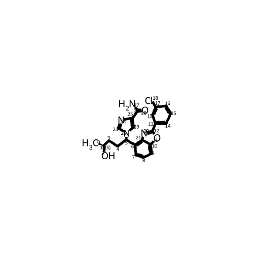 C[C@H](O)CCC(c1cccc2oc(-c3cccc(Cl)c3)nc12)n1cnc(C(N)=O)c1